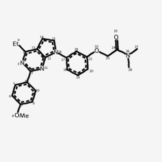 CCc1nc(-c2ccc(OC)cc2)nc2c1ccn2-c1cccc(OCC(=O)N(C)C)c1